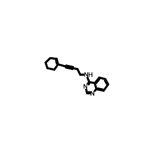 C(#CC1=CCCCC1)CCNc1ncnc2ccccc12